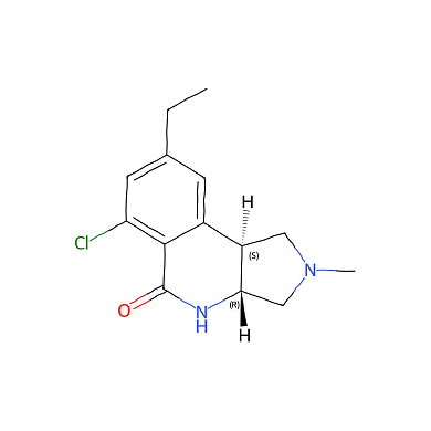 CCc1cc(Cl)c2c(c1)[C@H]1CN(C)C[C@@H]1NC2=O